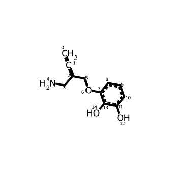 C=C=C(CN)COc1cccc(O)c1O